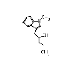 CCCC(O)Cc1cn(C)c2ccccc12